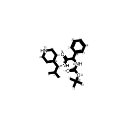 CC(C)[C@@H](NC(=O)C(NC(=O)OC(C)(C)C)c1ccccc1)C1CCNCC1